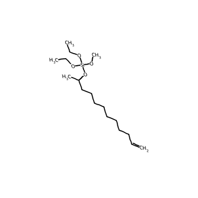 C=CCCCCCCCCC(C)O[Si](OC)(OCC)OCC